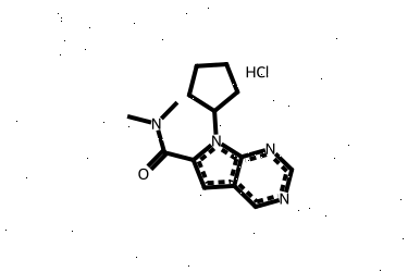 CN(C)C(=O)c1cc2cncnc2n1C1CCCC1.Cl